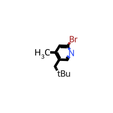 Cc1cc(Br)ncc1CC(C)(C)C